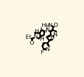 CCC(=O)N1C[C@H]2C[C@@H](Nc3c(C(N)=O)cnn4cc(-c5ccc(F)nc5)cc34)[C@H](C)[C@H]2C1